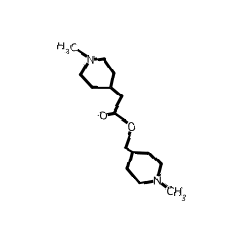 CN1CCC(COC([O])CC2CCN(C)CC2)CC1